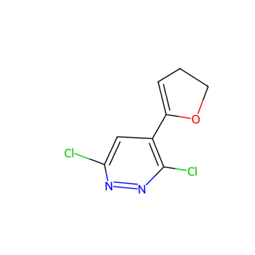 Clc1cc(C2=CCCO2)c(Cl)nn1